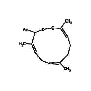 CC(=O)C1CCC(C)=CCCC(C)=CCC=C1C